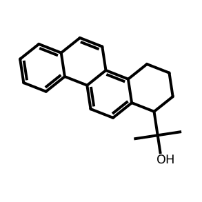 CC(C)(O)C1CCCc2c1ccc1c2ccc2ccccc21